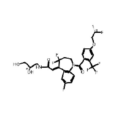 C[C@H](F)COc1ccc(C(=O)N2CCC(F)(F)C(=CC(=O)NC[C@@H](O)CO)c3cc(F)ccc32)c(C(F)(F)F)c1